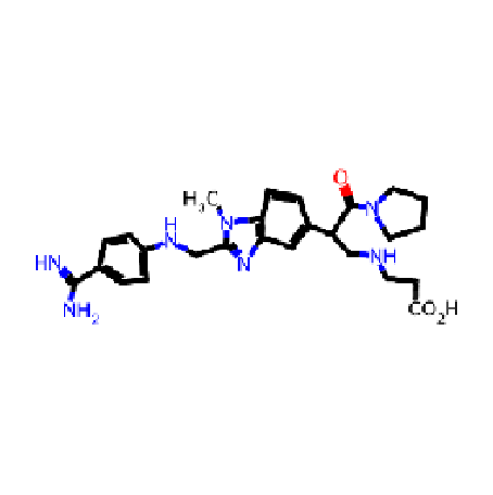 Cn1c(CNc2ccc(C(=N)N)cc2)nc2cc(C(CNCCC(=O)O)C(=O)N3CCCC3)ccc21